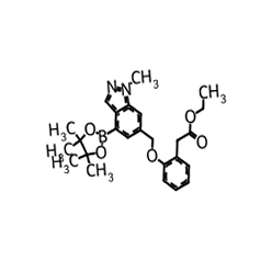 CCOC(=O)Cc1ccccc1OCc1cc(B2OC(C)(C)C(C)(C)O2)c2cnn(C)c2c1